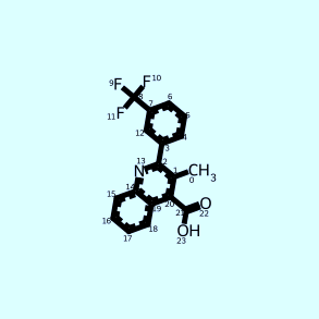 Cc1c(-c2cccc(C(F)(F)F)c2)nc2ccccc2c1C(=O)O